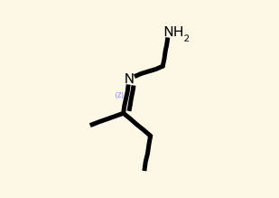 CC/C(C)=N\CN